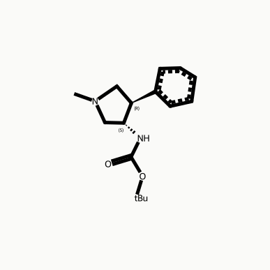 CN1C[C@@H](NC(=O)OC(C)(C)C)[C@H](c2ccccc2)C1